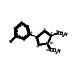 Cc1cccc([C@@H]2C[C@@H](C(=O)O)N(C(=O)O)C2)c1